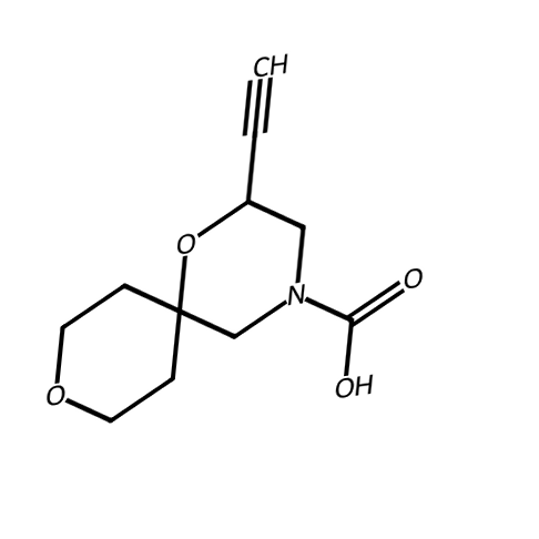 C#CC1CN(C(=O)O)CC2(CCOCC2)O1